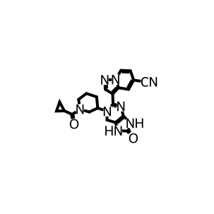 N#Cc1ccn2ncc(C3=Nc4[nH]c(=O)[nH]c4CN3C3CCCN(C(=O)C4CC4)C3)c2c1